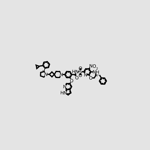 O=C(NS(=O)(=O)c1cc([N+](=O)[O-])c2c(n1)OC[C@@H](Cc1ccccc1)N2)c1ccc(N2CCC3(CC2)CC(N2CCC[C@H]2c2ccccc2C2CC2)C3)cc1Oc1cnc2[nH]ccc2c1